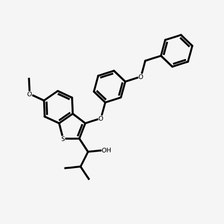 COc1ccc2c(Oc3cccc(OCc4ccccc4)c3)c(C(O)C(C)C)sc2c1